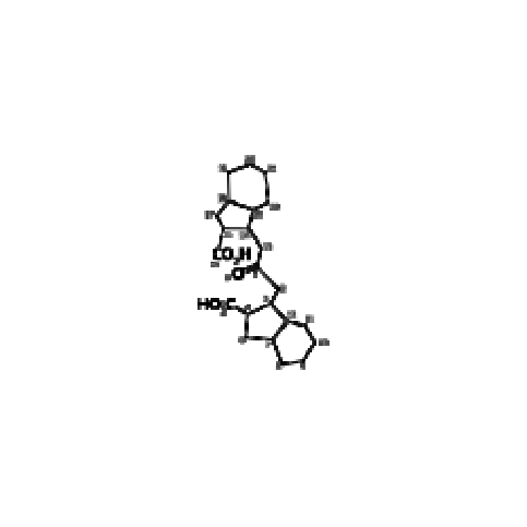 O=C(CC1C(C(=O)O)CC2CCCCC21)CC1C(C(=O)O)CC2CCCCC21